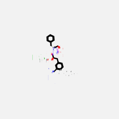 COc1ccc(CC(OC(C)C)C(=O)N2C(=O)OC[C@@H]2Cc2ccccc2)cc1CN.Cl